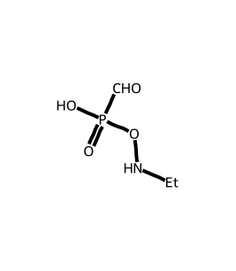 CCNOP(=O)(O)C=O